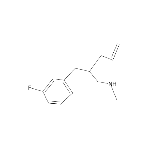 C=CCC(CNC)Cc1cccc(F)c1